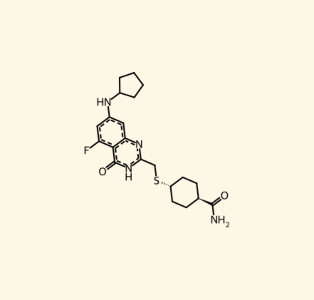 NC(=O)[C@H]1CC[C@H](SCc2nc3cc(NC4CCCC4)cc(F)c3c(=O)[nH]2)CC1